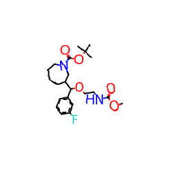 COC(=O)NCCOC(c1cccc(F)c1)C1CCCCN(C(=O)OC(C)(C)C)C1